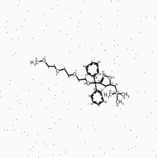 COCCOCCOCCOC(C1=NOC(C[Si](C)(C)C)C1)(c1ccccc1)c1ccccc1